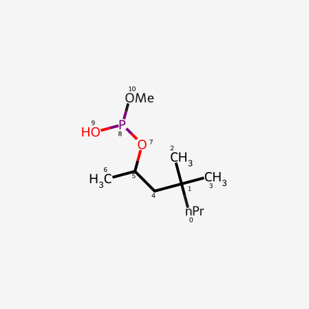 CCCC(C)(C)CC(C)OP(O)OC